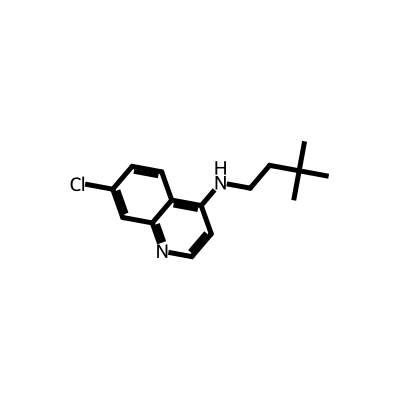 CC(C)(C)CCNc1ccnc2cc(Cl)ccc12